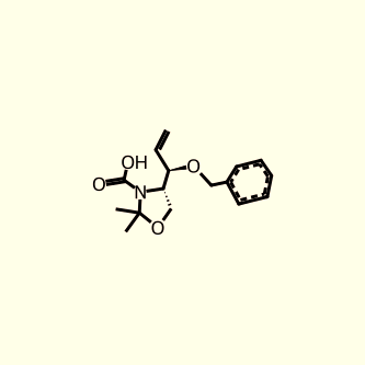 C=C[C@@H](OCc1ccccc1)[C@@H]1COC(C)(C)N1C(=O)O